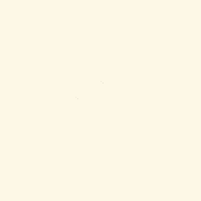 [c]1cc[c]c2nc(-c3ccccc3)c(-c3ccccc3)nc12